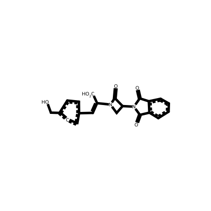 O=C(O)C(=Cc1ccc(CO)cc1)N1CC(N2C(=O)c3ccccc3C2=O)C1=O